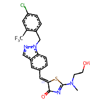 CN(CCO)C1=NC(=O)/C(=C/c2ccc3c(cnn3Cc3ccc(Cl)cc3C(F)(F)F)c2)S1